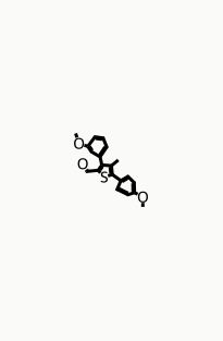 COc1ccc(-c2sc(C=O)c(-c3cccc(OC)c3)c2C)cc1